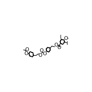 COc1c(I)cc(C(=O)OCCc2ccc(OC(=O)OCCc3ccc(OC(C)=O)cc3)cc2)cc1I